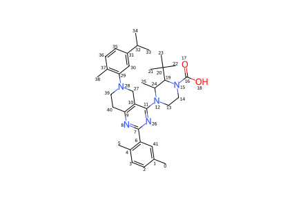 Cc1ccc(C)c(-c2nc3c(c(N4CCN(C(=O)O)C(C(C)(C)C)C4C)n2)CN(c2cc(C(C)C)ccc2C)CC3)c1